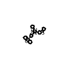 c1ccc(-c2nc(-c3ccc(N4c5ccccc5Oc5ccccc54)cc3)nc(-c3ccc4sc5ccccc5c4c3)n2)cc1